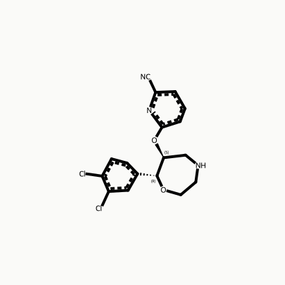 N#Cc1cccc(O[C@H]2CNCCO[C@@H]2c2ccc(Cl)c(Cl)c2)n1